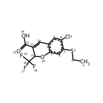 CCSc1cc2c(cc1Cl)C=C(C(=O)O)C(C(F)(F)F)O2